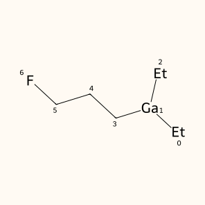 C[CH2][Ga]([CH2]C)[CH2]CCF